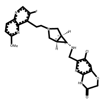 COc1ccc2ncc(F)c(CCN3C[C@@H]4[C@H](C3)[C@H]4NCc3nc4c(cc3Cl)OCC(=O)N4)c2n1